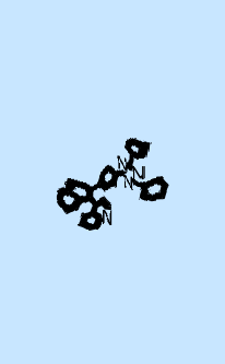 c1ccc(-c2nc(-c3ccccc3)nc(-c3ccc(-c4ccc5ccccc5c4-c4ccnc5ccccc45)cc3)n2)cc1